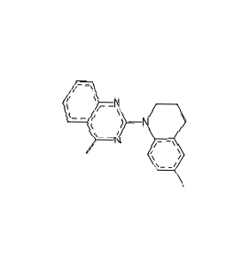 Cc1ccc2c(c1)CCCN2c1nc(C)c2ccccc2n1